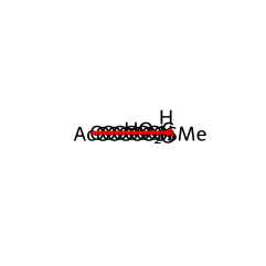 CSC(CC(=O)O)C(=O)NCCOCCOCCOCCOCCOCCOCCOCCOCCOCCOCCOCCOCCC(C)=O